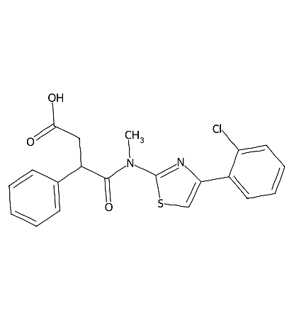 CN(C(=O)C(CC(=O)O)c1ccccc1)c1nc(-c2ccccc2Cl)cs1